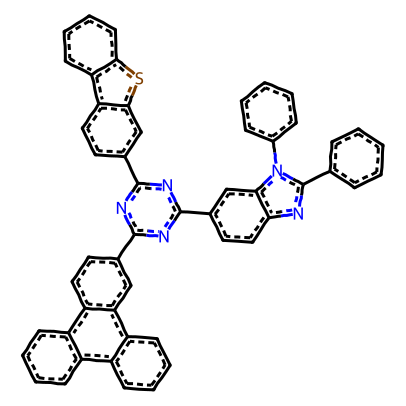 c1ccc(-c2nc3ccc(-c4nc(-c5ccc6c(c5)sc5ccccc56)nc(-c5ccc6c7ccccc7c7ccccc7c6c5)n4)cc3n2-c2ccccc2)cc1